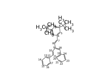 CC(C)(C)c1cc(C=CC(C=Cc2ccccc2)=Cc2ccccc2)cc(C(C)(C)C)c1